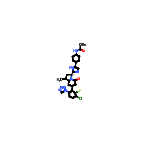 COC(=O)Nc1ccc(-c2cnc([C@H]3CC(C)c4cc(-c5c(-n6cnnn6)ccc(Cl)c5F)cc(=O)n43)[nH]2)cc1